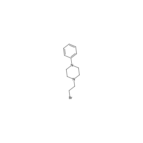 BrCCN1CCN(c2ccccc2)CC1